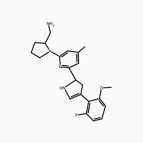 COc1cccc(F)c1C1=CNC(c2cc(C)cc(N3CCCC3CN)n2)C1